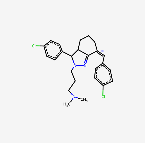 CN(C)CCCN1N=C2/C(=C\c3ccc(Cl)cc3)CCCC2C1c1ccc(Cl)cc1